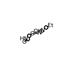 CCc1ccc(N2CCN(C[C@H](O)COc3ccc4[nH]c(=O)ccc4c3)CC2)cc1